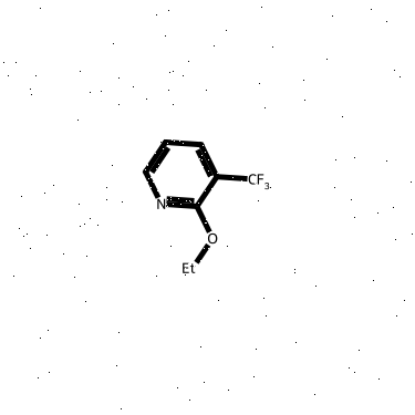 CCOc1nc[c]cc1C(F)(F)F